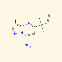 C=CC(C)(C)c1cc(N)n2ncc(C)c2n1